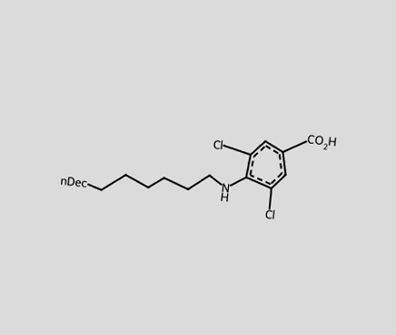 CCCCCCCCCCCCCCCCNc1c(Cl)cc(C(=O)O)cc1Cl